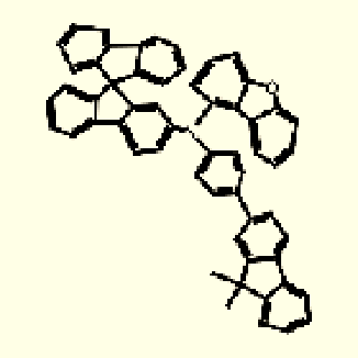 CC1(C)c2ccccc2-c2ccc(-c3ccc(N(c4ccc5c(c4)C4(c6ccccc6-c6ccccc64)c4ccccc4-5)c4cccc5oc6ccccc6c45)cc3)cc21